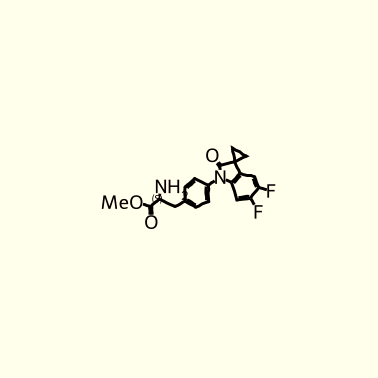 COC(=O)[C@@H](N)Cc1ccc(N2C(=O)C3(CC3)c3cc(F)c(F)cc32)cc1